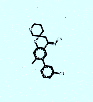 Cc1cc2c(cc1-c1cccc(C#N)c1)C(=NC#N)CC1(CCCOC1)O2